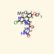 COc1cc(OC(F)(F)F)cc(-c2cc(C(=O)N3CCNC(=O)C3)nn2-c2ccnc(Cl)c2)c1